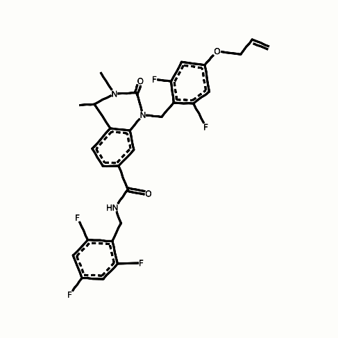 C=CCOc1cc(F)c(CN2C(=O)N(C)C(C)c3ccc(C(=O)NCc4c(F)cc(F)cc4F)cc32)c(F)c1